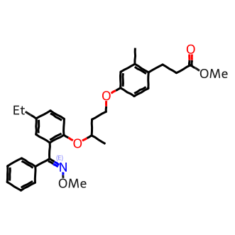 CCc1ccc(OC(C)CCOc2ccc(CCC(=O)OC)c(C)c2)c(/C(=N/OC)c2ccccc2)c1